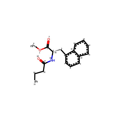 CCCOC(=O)[C@H](Cc1cccc2ccccc12)NC(=O)CCC(C)C